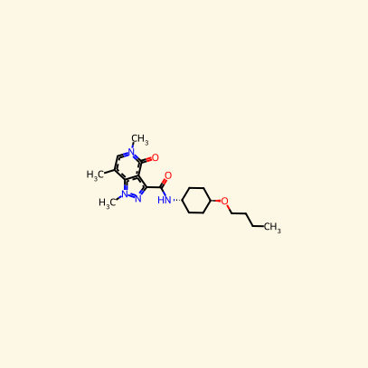 CCCCO[C@H]1CC[C@H](NC(=O)c2nn(C)c3c(C)cn(C)c(=O)c23)CC1